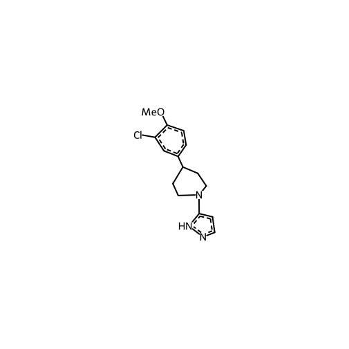 COc1ccc(C2CCN(c3ccn[nH]3)CC2)cc1Cl